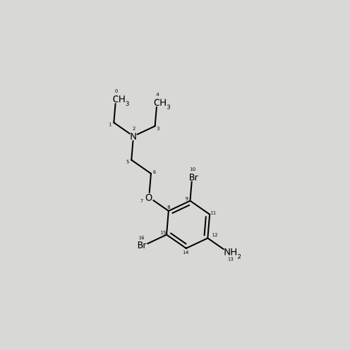 CCN(CC)CCOc1c(Br)cc(N)cc1Br